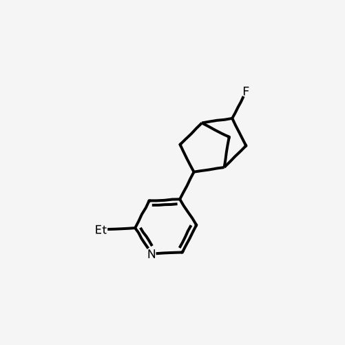 CCc1cc(C2CC3CC2CC3F)ccn1